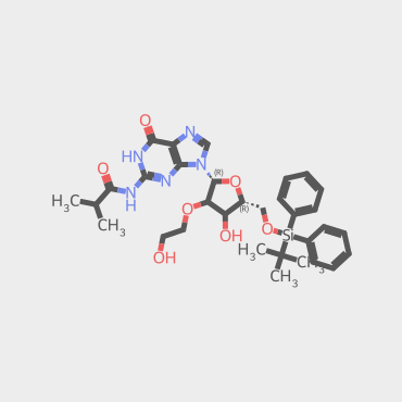 CC(C)C(=O)Nc1nc2c(ncn2[C@@H]2O[C@H](CO[Si](c3ccccc3)(c3ccccc3)C(C)(C)C)C(O)C2OCCO)c(=O)[nH]1